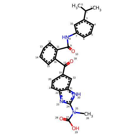 CC(C)c1cccc(NC(=O)c2ccccc2C(=O)c2ccc3nc(N(C)C(=O)O)[nH]c3c2)c1